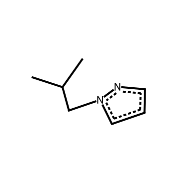 CC(C)Cn1cccn1